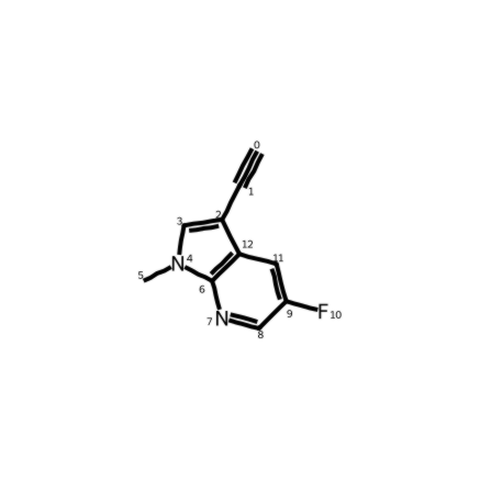 C#Cc1cn(C)c2ncc(F)cc12